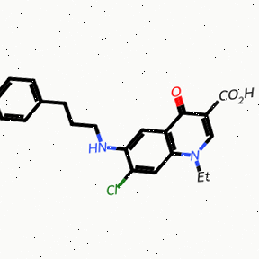 CCn1cc(C(=O)O)c(=O)c2cc(NCCCc3ccccc3)c(Cl)cc21